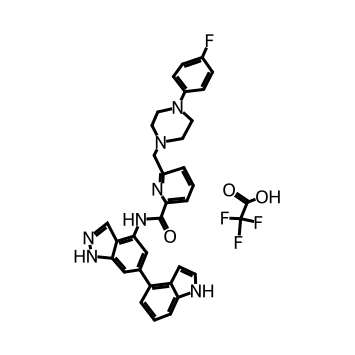 O=C(Nc1cc(-c2cccc3[nH]ccc23)cc2[nH]ncc12)c1cccc(CN2CCN(c3ccc(F)cc3)CC2)n1.O=C(O)C(F)(F)F